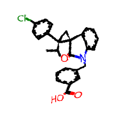 CC(C)[C@@]1(c2ccc(Cl)cc2)C[C@@]12C(=O)N(Cc1cccc(C(=O)O)c1)c1ccccc12